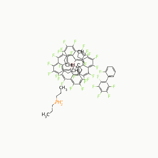 CCC[PH2+]CCC.CCc1c(F)c(F)c(F)c2c(F)c(F)c(F)c([B-](c3c(F)c(F)c(F)c4c(F)c(F)c(F)c(CC)c34)(c3c(F)c(F)c(F)c4c(F)c(F)c(F)c(CC)c34)c3c(F)c(F)c(F)c4c(F)c(F)c(F)c(CC)c34)c12.Fc1ccccc1-c1c(F)c(F)c(F)c(F)c1F